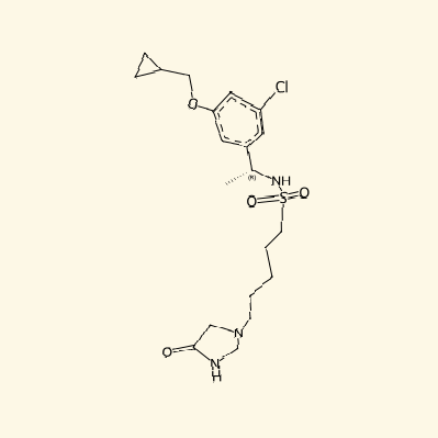 C[C@@H](NS(=O)(=O)CCCCCN1CNC(=O)C1)c1cc(Cl)cc(OCC2CC2)c1